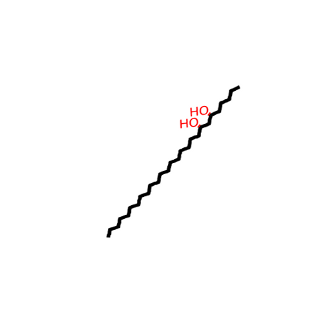 CCCCCCCCCCCCCCCCCCCC(O)CC(O)CCCCC